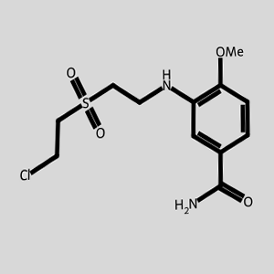 COc1ccc(C(N)=O)cc1NCCS(=O)(=O)CCCl